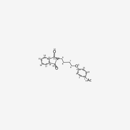 CC(=O)c1ccc(OCCCCN2C(=O)c3ccccc3C2=O)cc1